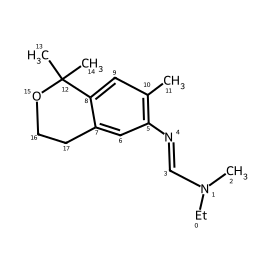 CCN(C)/C=N/c1cc2c(cc1C)C(C)(C)OCC2